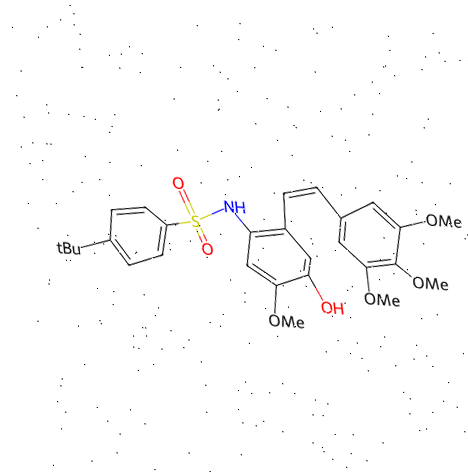 COc1cc(NS(=O)(=O)c2ccc(C(C)(C)C)cc2)c(/C=C\c2cc(OC)c(OC)c(OC)c2)cc1O